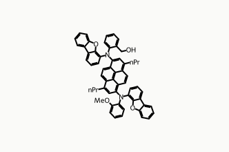 CCCc1cc(N(c2ccccc2CO)c2cccc3c2oc2ccccc23)c2ccc3c(CCC)cc(N(c4ccccc4OC)c4cccc5c4oc4ccccc45)c4ccc1c2c34